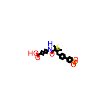 Cc1sc(C)c(C(=O)NC2CC3(C2)CC(C(=O)O)C3)c1Cc1ccc(-c2ccc(S(C)(=O)=O)cc2)cc1